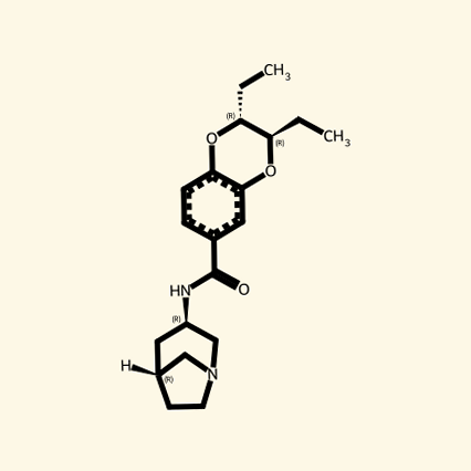 CC[C@H]1Oc2ccc(C(=O)N[C@@H]3C[C@H]4CCN(C4)C3)cc2O[C@@H]1CC